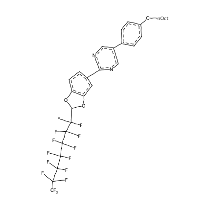 CCCCCCCCOc1ccc(-c2cnc(-c3ccc4c(c3)OC(C(F)(F)C(F)(F)C(F)(F)C(F)(F)C(F)(F)C(F)(F)C(F)(F)F)O4)nc2)cc1